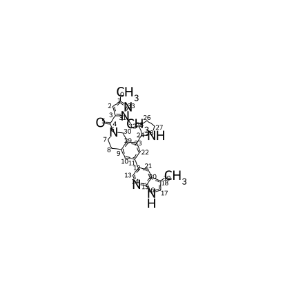 Cc1cc(C(=O)N2CCc3cc(-c4cnc5[nH]cc(C)c5c4)cc(C4CCCN4)c3C2)n(C)n1